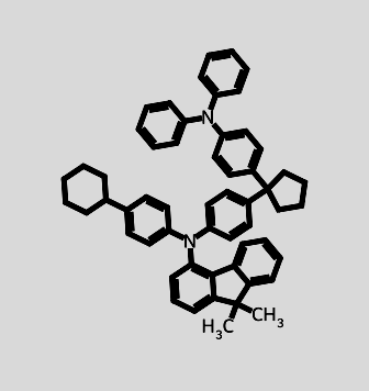 CC1(C)c2ccccc2-c2c(N(c3ccc(C4CCCCC4)cc3)c3ccc(C4(c5ccc(N(c6ccccc6)c6ccccc6)cc5)CCCC4)cc3)cccc21